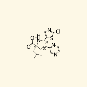 CC(C)C[C@@]1(C(=O)O)C[C@H](c2cnccn2)[C@H](c2cnc(Cl)s2)N1